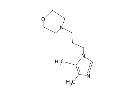 Cc1n[c]n(CCCN2CCOCC2)c1C